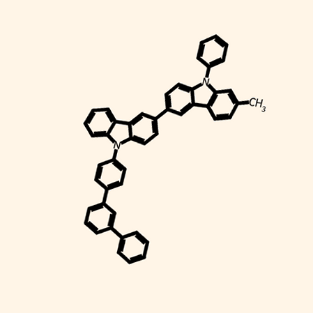 Cc1ccc2c3cc(-c4ccc5c(c4)c4ccccc4n5-c4ccc(-c5cccc(-c6ccccc6)c5)cc4)ccc3n(-c3ccccc3)c2c1